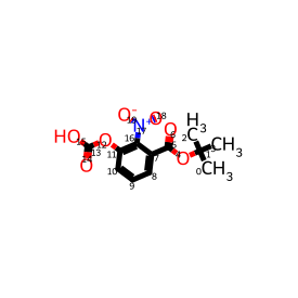 CC(C)(C)OC(=O)c1cccc(OC(=O)O)c1[N+](=O)[O-]